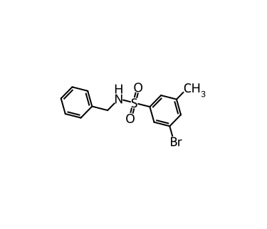 Cc1cc(Br)cc(S(=O)(=O)NCc2ccccc2)c1